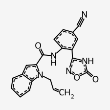 C=CCn1c(C(=O)Nc2ccc(C#N)cc2-c2noc(=O)[nH]2)cc2ccccc21